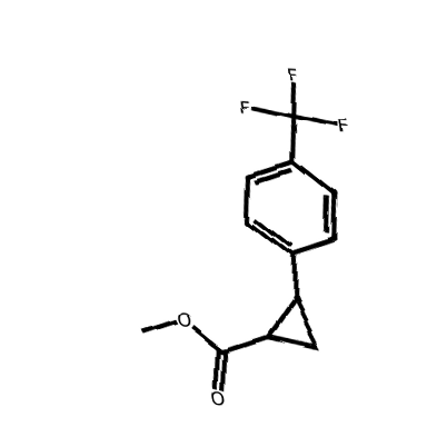 COC(=O)C1CC1c1ccc(C(F)(F)F)cc1